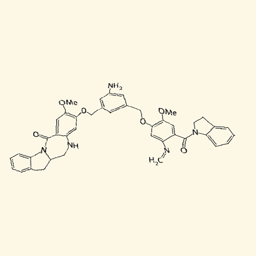 C=Nc1cc(OCc2cc(N)cc(COc3cc4c(cc3OC)C(=O)N3c5ccccc5CC3CN4)c2)c(OC)cc1C(=O)N1CCc2ccccc21